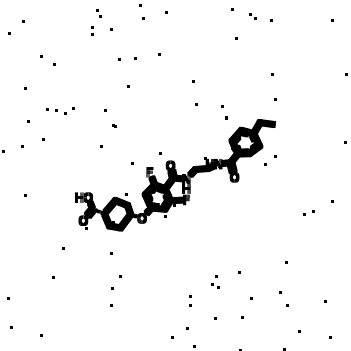 CCc1ccc(C(=O)NCCNC(=O)c2c(F)cc(O[C@H]3CC[C@@H](C(=O)O)CC3)cc2F)cc1